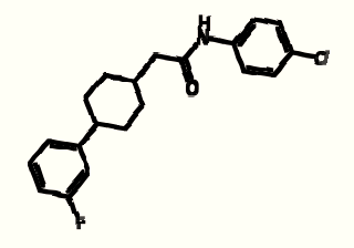 O=C(CC1CCC(c2cccc(F)c2)CC1)Nc1ccc(Cl)cc1